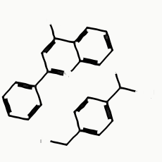 CC(C)Cc1ccc(C(C)C(=O)O)cc1.O=C(O)c1cc(-c2ccccc2)nc2ccccc12